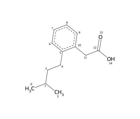 CC(C)CCc1ccccc1CC(=O)O